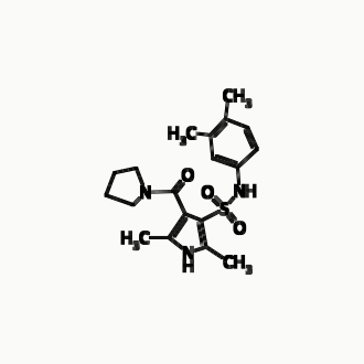 Cc1ccc(NS(=O)(=O)c2c(C)[nH]c(C)c2C(=O)N2CCCC2)cc1C